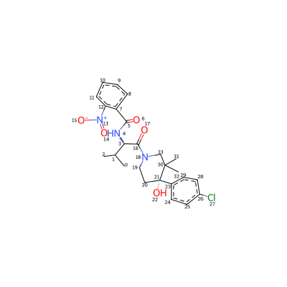 CC(C)[C@@H](NC(=O)c1ccccc1[N+](=O)[O-])C(=O)N1CC[C@](O)(c2ccc(Cl)cc2)C(C)(C)C1